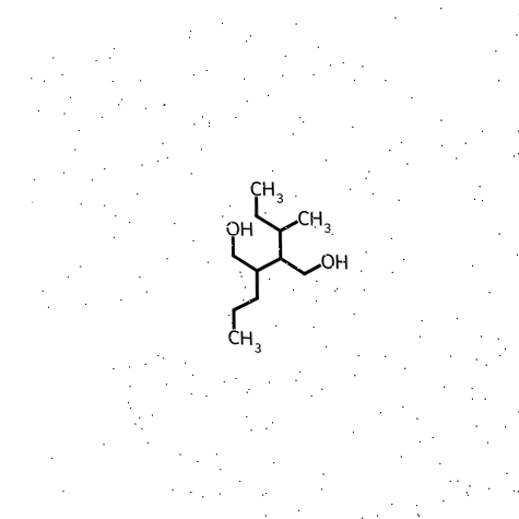 CCCC(CO)C(CO)C(C)CC